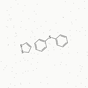 C1=CSSC1.c1ccc(Sc2ccccc2)cc1